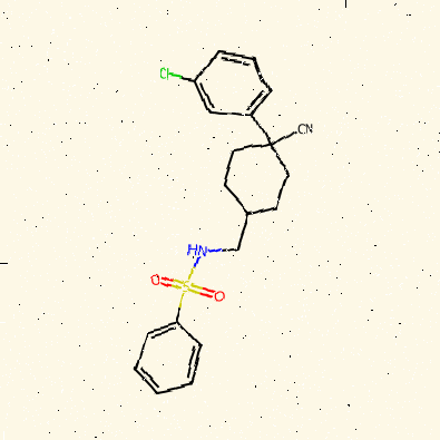 N#CC1(c2cccc(Cl)c2)CCC(CNS(=O)(=O)c2ccccc2)CC1